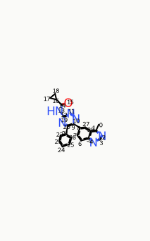 Cc1ncnc2ccc(-c3nnc(NC(=O)C4CC4)nc3-c3ccccc3)cc12